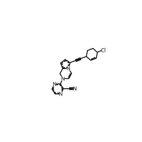 N#Cc1nccnc1N1C=Cn2c(C#CC3C=CC(Cl)CC3)ccc2C1